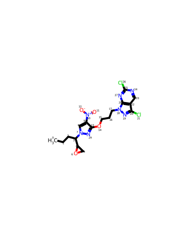 CCCC(C1CO1)n1cc([N+](=O)[O-])c(OCCCn2nc(Cl)c3cnc(Cl)nc32)n1